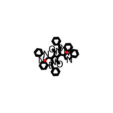 O=C1C2=C(c3cnc4ccccc4n3)N(B(c3ccccc3)c3ccccc3)C(=O)C2=C(c2cnc3ccccc3n2)N1B(c1ccccc1)c1ccccc1